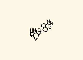 CC(CC(=O)N1CCCC2C(c3nnn[nH]3)CCCC21)c1c[nH]c2cccc(C3CC3)c12